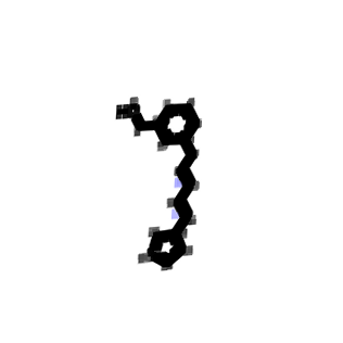 OCc1cccc(C/C=C/C=C/c2ccsc2)c1